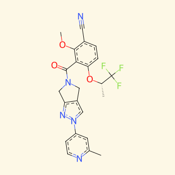 COc1c(C#N)ccc(O[C@@H](C)C(F)(F)F)c1C(=O)N1Cc2cn(-c3ccnc(C)c3)nc2C1